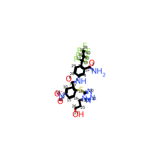 NC(=O)c1cc(NC(=O)c2cc([N+](=O)[O-])ccc2Sc2nnnn2CCCO)ccc1C(F)(F)C(F)(F)C(F)(F)F